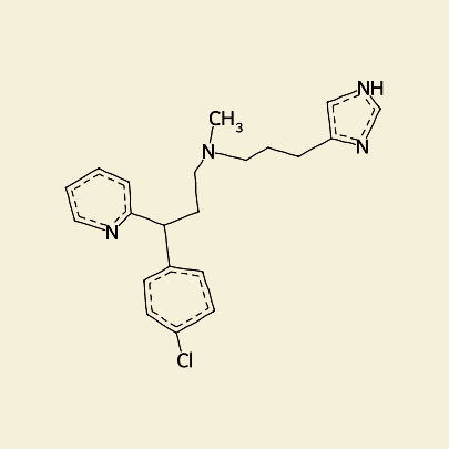 CN(CCCc1c[nH]cn1)CCC(c1ccc(Cl)cc1)c1ccccn1